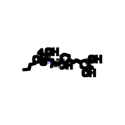 C=C1[C@H](O)CC(=C/C=C2\CCC[C@]3(C)[C@@H]([C@@H](C)/C=C/[C@@H](O)C4(C(=O)OCCCC)CC4)CC[C@@H]23)C[C@H]1O